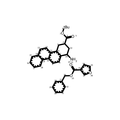 CC(C)(C)OC(=O)C1Cc2c(ccc3c2ccc2ccccc23)C(N)C1.O=C(OCc1ccccc1)c1ccoc1